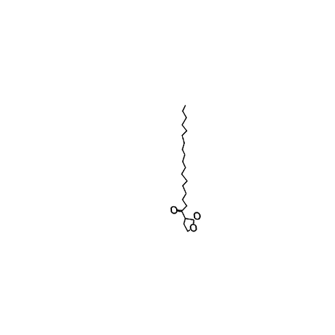 CCCCCCCCCCCCCCCCCC(=O)C1CCOC1=O